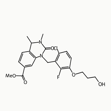 COC(=O)c1ccc2c(c1)N(Cc1c(Cl)ccc(OCCCO)c1F)C(=O)N(C)C2C